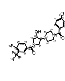 O=C(c1ccc(Cl)cc1)N1CCN(C2CN(C(=O)c3ccc(F)c(C(F)(F)F)c3)CC2O)CC1